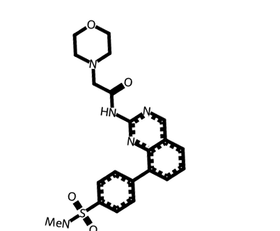 CNS(=O)(=O)c1ccc(-c2cccc3cnc(NC(=O)CN4CCOCC4)nc23)cc1